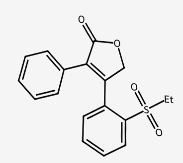 CCS(=O)(=O)c1ccccc1C1=C(c2ccccc2)C(=O)OC1